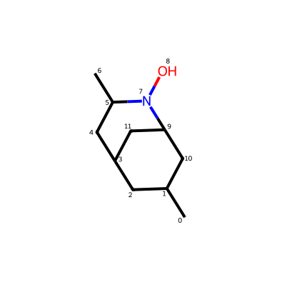 CC1CC2CC(C)N(O)C(C1)C2